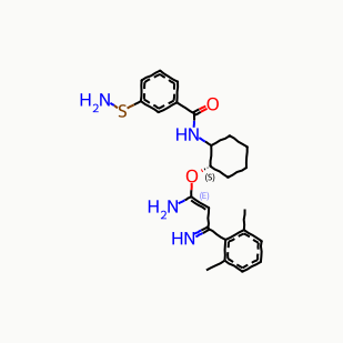 Cc1cccc(C)c1C(=N)/C=C(\N)O[C@H]1CCCCC1NC(=O)c1cccc(SN)c1